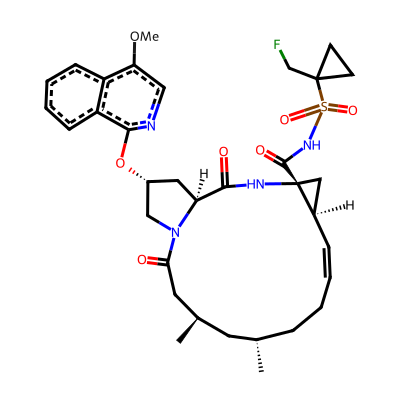 COc1cnc(O[C@@H]2C[C@H]3C(=O)N[C@]4(C(=O)NS(=O)(=O)C5(CF)CC5)C[C@H]4/C=C\CC[C@H](C)C[C@@H](C)CC(=O)N3C2)c2ccccc12